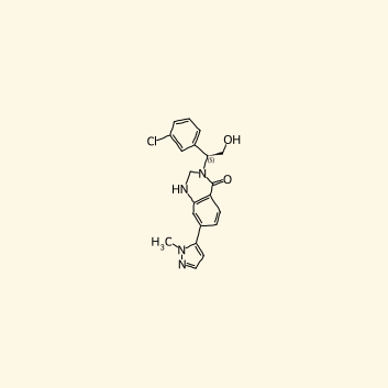 Cn1nccc1-c1ccc2c(c1)NCN([C@H](CO)c1cccc(Cl)c1)C2=O